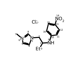 CCC(Cn1cc[n+](C)c1)Nc1ccc([N+](=O)[O-])cc1.[Cl-]